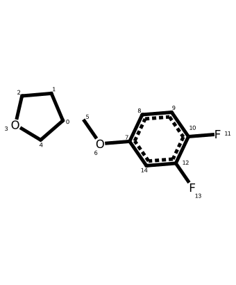 C1CCOC1.COc1ccc(F)c(F)c1